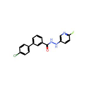 O=C(NNc1ccc(F)nc1)c1cccc(-c2ccc(Cl)cc2)c1